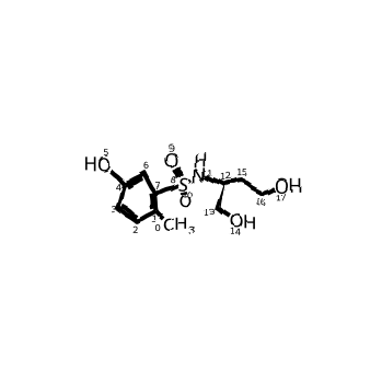 Cc1ccc(O)cc1S(=O)(=O)N[C@H](CO)CCO